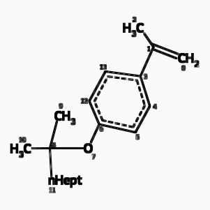 C=C(C)c1ccc(OC(C)(C)CCCCCCC)cc1